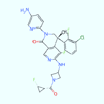 C[C@]1(c2cccc(Cl)c2F)CN(c2ccc(N)cn2)C(=O)c2cnc(NC3CN(C(=O)[C@@H]4C[C@@H]4F)C3)c(F)c21